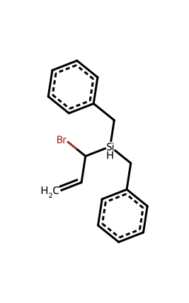 C=CC(Br)[SiH](Cc1ccccc1)Cc1ccccc1